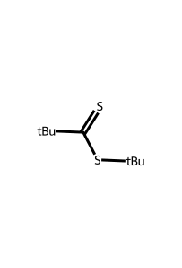 CC(C)(C)SC(=S)C(C)(C)C